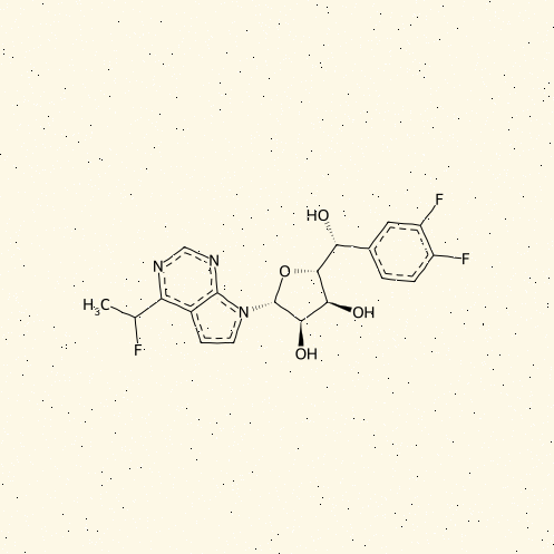 CC(F)c1ncnc2c1ccn2[C@@H]1O[C@H]([C@H](O)c2ccc(F)c(F)c2)[C@@H](O)[C@H]1O